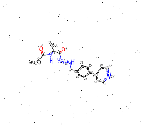 COC(=O)NC(C(=O)NNCc1ccc(-c2ccncc2)cc1)C(C)(C)C